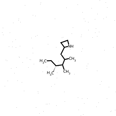 CC[C@@H](C)C(C)C(C)CC1CCN1